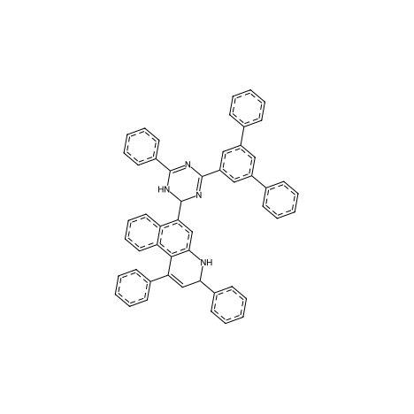 C1=C(c2ccccc2)c2c(cc(C3N=C(c4cc(-c5ccccc5)cc(-c5ccccc5)c4)N=C(c4ccccc4)N3)c3ccccc23)NC1c1ccccc1